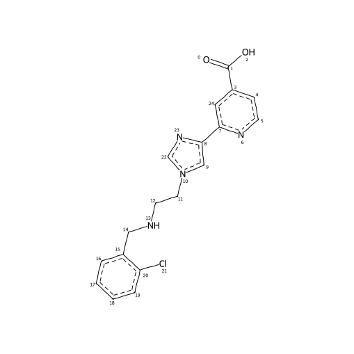 O=C(O)c1ccnc(-c2cn(CCNCc3ccccc3Cl)cn2)c1